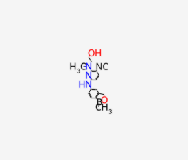 [C-]#[N+]c1ccc(Nc2ccc3c(c2)COB3C)nc1N(C)CCO